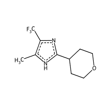 Cc1[nH]c(C2CCOCC2)nc1C(F)(F)F